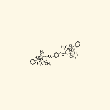 CC1(C)CC(OCc2ccc(COC3CC(C)(C)N(OC(=O)c4ccccc4)C(C)(C)C3)cc2)CC(C)(C)N1OC(=O)c1ccccc1